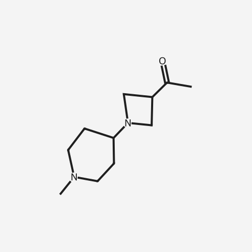 CC(=O)C1CN(C2CCN(C)CC2)C1